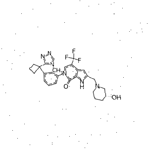 Cn1cnnc1C1(c2cccc(-n3cc(C(F)(F)F)c4cc(CN5CCC[C@@H](O)C5)[nH]c4c3=O)c2)CCC1